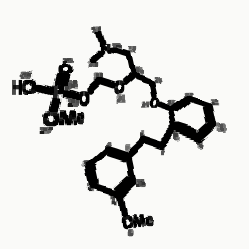 COc1cccc(CCc2ccccc2OCC(CN(C)C)OCOP(=O)(O)OC)c1